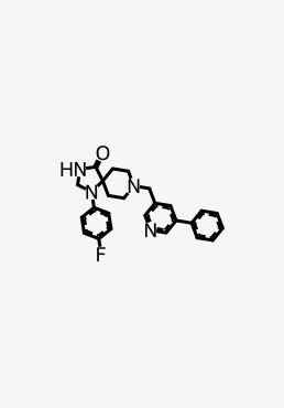 O=C1NCN(c2ccc(F)cc2)C12CCN(Cc1cncc(-c3ccccc3)c1)CC2